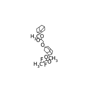 CC(F)(F)C(=O)OC1(C)C2CC3CC1CC(OCC(=O)OC1(C)C4CC5CC(C4)CC1C5)(C3)C2